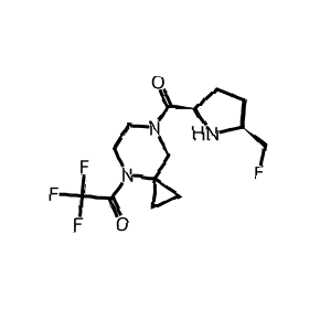 O=C([C@H]1CC[C@@H](CF)N1)N1CCN(C(=O)C(F)(F)F)C2(CC2)C1